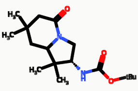 CC1(C)CC(=O)N2C[C@H](NC(=O)OC(C)(C)C)C(C)(C)C2C1